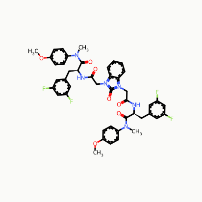 COc1ccc(N(C)C(=O)[C@H](Cc2cc(F)cc(F)c2)NC(=O)Cn2c(=O)n(CC(=O)N[C@@H](Cc3cc(F)cc(F)c3)C(=O)N(C)c3ccc(OC)cc3)c3ccccc32)cc1